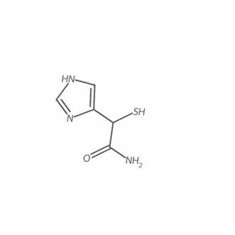 NC(=O)C(S)c1c[nH]cn1